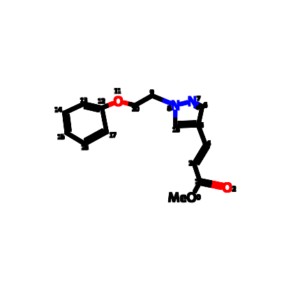 COC(=O)C=Cc1cnn(CCOc2ccccc2)c1